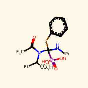 CCC(C(=O)O)N(C(=O)C(F)(F)F)C(NC(C)C)(Sc1ccccc1)P(=O)(O)O